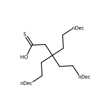 CCCCCCCCCCCCC(CCCCCCCCCCCC)(CCCCCCCCCCCC)CC(O)=S